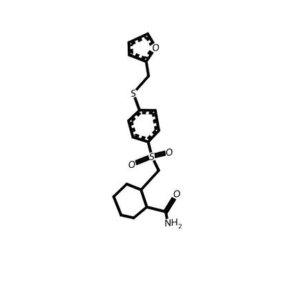 NC(=O)C1CCCCC1CS(=O)(=O)c1ccc(SCc2ccco2)cc1